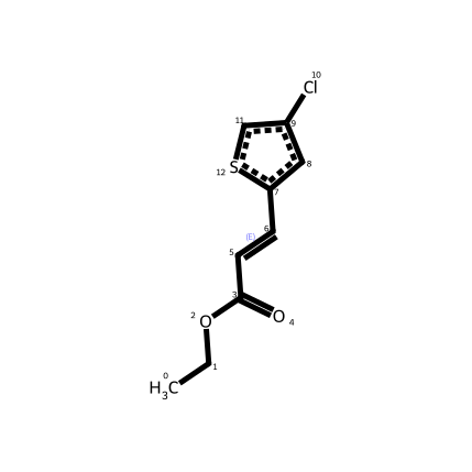 CCOC(=O)/C=C/c1cc(Cl)cs1